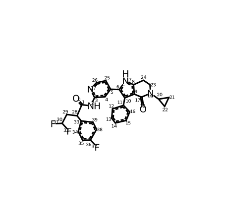 O=C(Nc1cc(-c2[nH]c3c(c2-c2ccccc2)C(=O)N(C2CC2)CC3)ccn1)C(CC(F)F)c1ccc(F)cc1